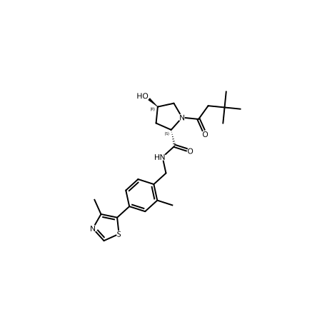 Cc1cc(-c2scnc2C)ccc1CNC(=O)[C@@H]1C[C@@H](O)CN1C(=O)CC(C)(C)C